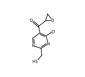 O=C(c1cnc(CS)nc1Cl)C1CO1